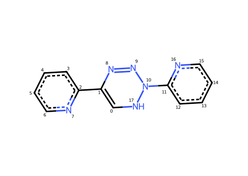 C1=C(c2ccccn2)N=NN(c2ccccn2)N1